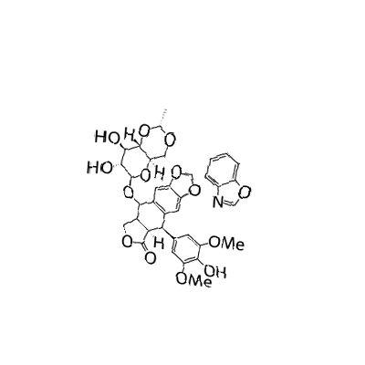 COc1cc([C@@H]2c3cc4c(cc3C(O[C@@H]3O[C@@H]5CO[C@@H](C)O[C@H]5[C@H](O)[C@H]3O)C3COC(=O)[C@@H]32)OCO4)cc(OC)c1O.c1ccc2ocnc2c1